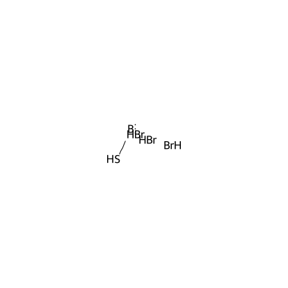 Br.Br.Br.CS.[B]